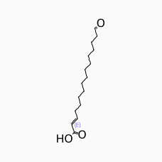 O=CCCCCCCCCCCCC/C=C/C(=O)O